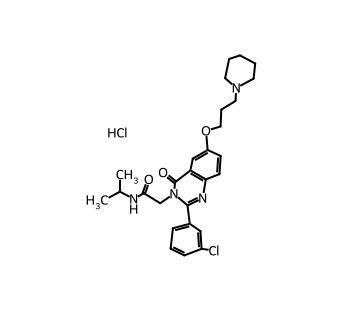 CC(C)NC(=O)Cn1c(-c2cccc(Cl)c2)nc2ccc(OCCCN3CCCCC3)cc2c1=O.Cl